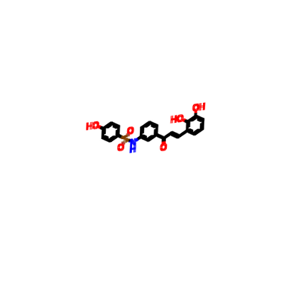 O=C(/C=C/c1cccc(O)c1O)c1cccc(NS(=O)(=O)c2ccc(O)cc2)c1